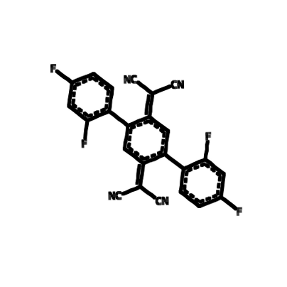 N#CC(C#N)=c1cc(-c2ccc(F)cc2F)c(=C(C#N)C#N)cc1-c1ccc(F)cc1F